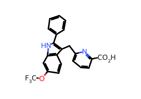 O=C(O)c1cccc(Cc2c(-c3ccccc3)[nH]c3cc(OC(F)(F)F)ccc23)n1